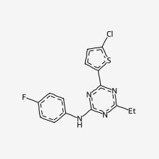 CCc1nc(Nc2ccc(F)cc2)nc(-c2ccc(Cl)s2)n1